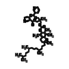 Cc1c(C)c2c(c(C)c1OC(=O)OCC(C)(COC(=O)c1cccnc1)COC(=O)c1cccnc1)CCC(C)(CCCC(C)CCCC(C)CCCC(C)C)O2